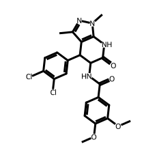 COc1ccc(C(=O)NC2C(=O)Nc3c(c(C)nn3C)C2c2ccc(Cl)c(Cl)c2)cc1OC